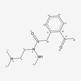 CNN(CCN(C)C)C(=O)Cc1ccccc1C(C)=O